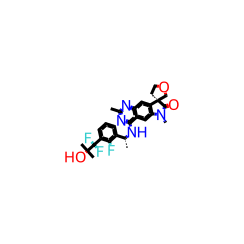 Cc1nc(N[C@H](C)c2cccc(C(F)(F)C(C)(C)O)c2F)c2cc3c(cc2n1)[C@]1(CCOC1)C(=O)N3C